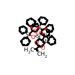 C=C(C)C(=O)OC(CC)[Si](O[Si](c1ccccc1)(c1ccccc1)c1ccccc1)(O[Si](c1ccccc1)(c1ccccc1)c1ccccc1)O[Si](c1ccccc1)(c1ccccc1)c1ccccc1